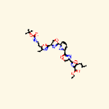 CCCc1oc(C2COC(c3cccc(C4=NC(c5nc(CC)c(CCNC(=O)OC(C)(C)C)o5)CO4)n3)=N2)nc1C(=O)OCC